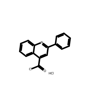 Cl.O=C(Cl)c1cc(-c2ccccc2)nc2ccccc12